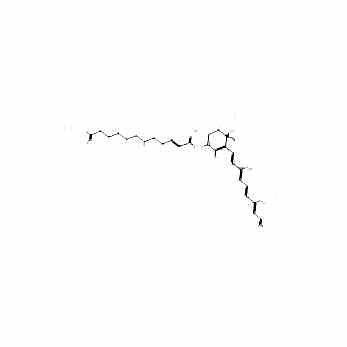 CC(=O)CCCCCCCC/C=C/C(=O)OC1CCC(C)(C)C(/C=C/C(C)=C/C=C/C(C)=C/C=O)=C1C